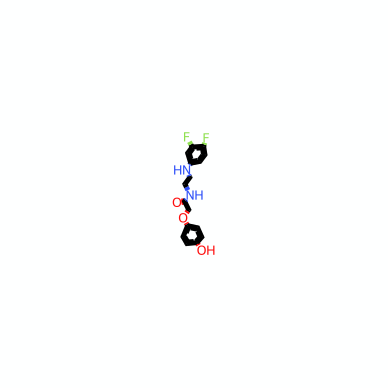 O=C(COc1ccc(O)cc1)NCCNc1ccc(F)c(F)c1